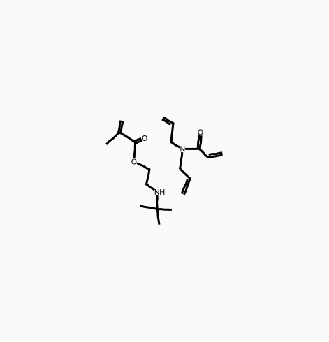 C=C(C)C(=O)OCCNC(C)(C)C.C=CCN(CC=C)C(=O)C=C